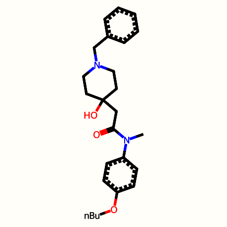 CCCCOc1ccc(N(C)C(=O)CC2(O)CCN(Cc3ccccc3)CC2)cc1